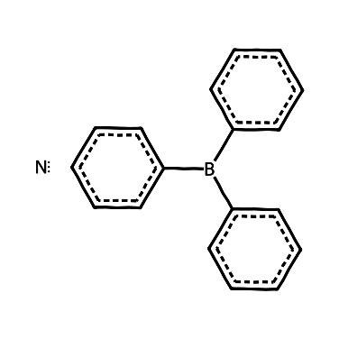 [N].c1ccc(B(c2ccccc2)c2ccccc2)cc1